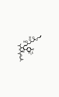 C=CCOC(=O)CC(O)CC(O)/C=C/c1c(-c2ccc(F)cc2)nc(N(C)OSN(C)C)nc1C(C)C.S